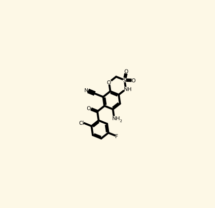 N#Cc1c2c(cc(N)c1C(=O)c1cc(F)ccc1Cl)NS(=O)(=O)CO2